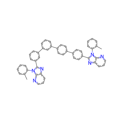 Cc1ccccc1-n1c(-c2ccc(-c3ccc(-c4cccc(-c5cccc(-c6nc7cccnc7n6-c6ccccc6C)c5)c4)cc3)cc2)nc2cccnc21